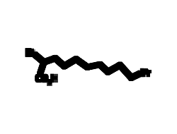 CCC(CCCCCCCCC(C)C)C(=O)O